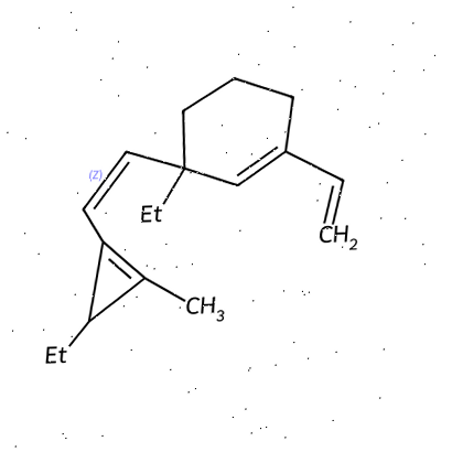 C=CC1=CC(/C=C\C2=C(C)C2CC)(CC)CCC1